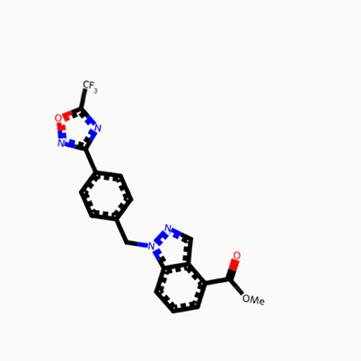 COC(=O)c1cccc2c1cnn2Cc1ccc(-c2noc(C(F)(F)F)n2)cc1